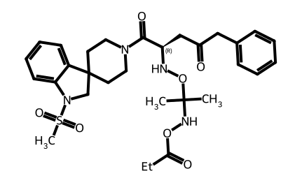 CCC(=O)ONC(C)(C)ON[C@H](CC(=O)Cc1ccccc1)C(=O)N1CCC2(CC1)CN(S(C)(=O)=O)c1ccccc12